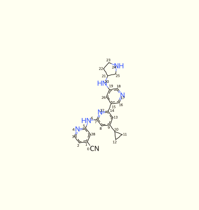 N#Cc1ccnc(Nc2cc(C3CC3)cc(-c3cncc(NC4CCNC4)c3)n2)c1